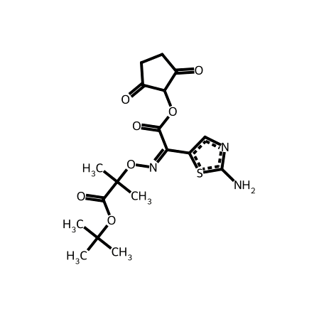 CC(C)(C)OC(=O)C(C)(C)O/N=C(\C(=O)OC1C(=O)CCC1=O)c1cnc(N)s1